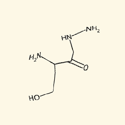 NNC(=O)C(N)CO